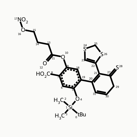 CC(C)(C)[Si](C)(C)Oc1cc(C(=O)O)c(OC(=O)CCCO[N+](=O)[O-])cc1C1=C(C2=CSCS2)C(=S)CC=C1